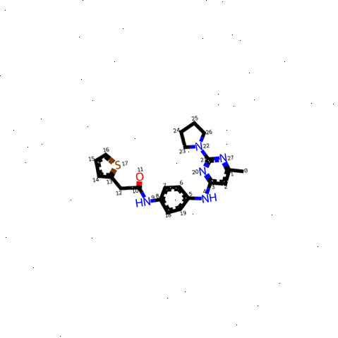 Cc1cc(Nc2ccc(NC(=O)Cc3cccs3)cc2)nc(N2CCCC2)n1